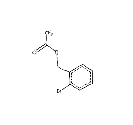 O=C(OCc1ccccc1Br)C(F)(F)F